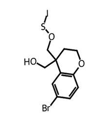 OCC1(COSI)CCOc2ccc(Br)cc21